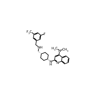 CN(C)c1cc(N[C@H]2CC[C@@H](CNCc3cc(F)cc(C(F)(F)F)c3)CC2)nc2ccccc12